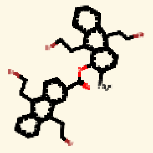 O=C(Oc1c(C(=O)O)ccc2c(CCBr)c3ccccc3c(CCBr)c12)c1ccc2c(CCBr)c3ccccc3c(CCBr)c2c1